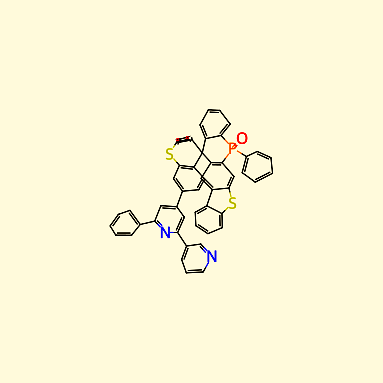 O=P1(c2ccccc2)c2ccccc2C2(c3ccccc3Sc3cc(-c4cc(-c5ccccc5)nc(-c5cccnc5)c4)ccc32)c2cc3c(cc21)sc1ccccc13